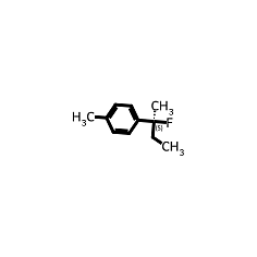 CC[C@](C)(F)c1ccc(C)cc1